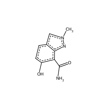 Cn1cc2ccc(O)c(C(N)=O)c2n1